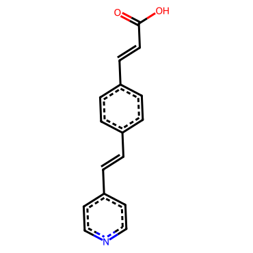 O=C(O)/C=C/c1ccc(C=Cc2ccncc2)cc1